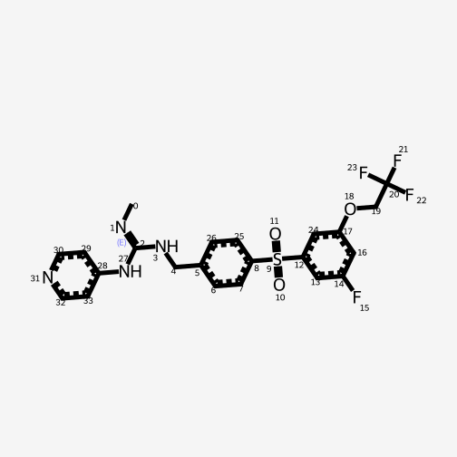 C/N=C(\NCc1ccc(S(=O)(=O)c2cc(F)cc(OCC(F)(F)F)c2)cc1)Nc1ccncc1